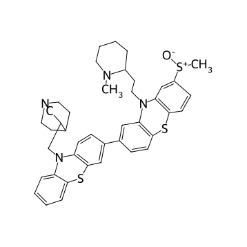 CN1CCCCC1CCN1c2cc(-c3ccc4c(c3)Sc3ccccc3N4CC3CN4CCC3CC4)ccc2Sc2ccc([S+](C)[O-])cc21